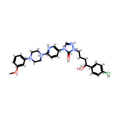 COc1cccc(N2CCN(c3ccc(-n4cnn(CCCC(O)c5ccc(Cl)cc5)c4=O)cn3)CC2)c1